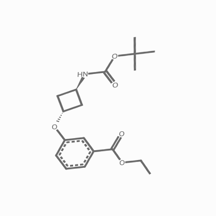 CCOC(=O)c1cccc(O[C@H]2C[C@H](NC(=O)OC(C)(C)C)C2)c1